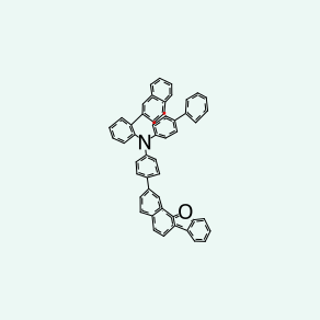 c1ccc(-c2ccc(N(c3ccc(-c4ccc5ccc6c7ccccc7oc6c5c4)cc3)c3ccccc3-c3ccc4ccccc4c3)cc2)cc1